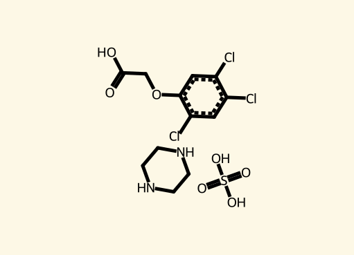 C1CNCCN1.O=C(O)COc1cc(Cl)c(Cl)cc1Cl.O=S(=O)(O)O